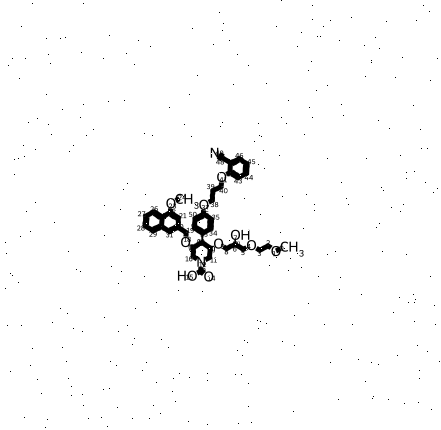 COCCOC[C@@H](O)CO[C@@H]1CN(C(=O)O)C[C@H](OCc2cc(OC)c3ccccc3c2)[C@H]1c1ccc(OCCCOc2ccccc2C#N)cc1